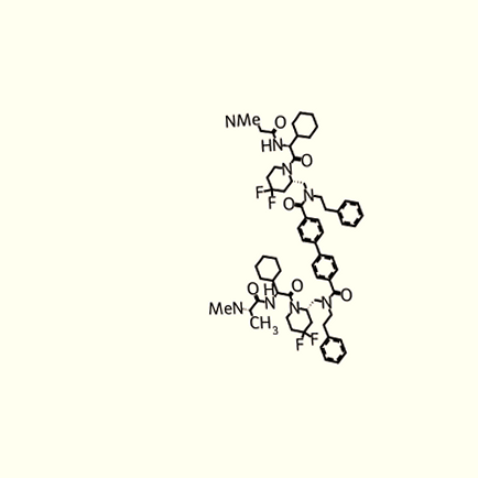 CNCC(=O)N[C@H](C(=O)N1CCC(F)(F)C[C@H]1CN(CCc1ccccc1)C(=O)c1ccc(-c2ccc(C(=O)N(CCc3ccccc3)C[C@@H]3CC(F)(F)CCN3C(=O)[C@@H](NC(=O)[C@H](C)NC)C3CCCCC3)cc2)cc1)C1CCCCC1